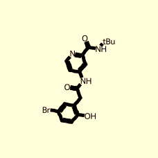 CC(C)(C)NC(=O)c1cc(NC(=O)Cc2cc(Br)ccc2O)ccn1